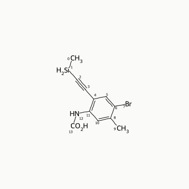 C[SiH2]C#Cc1cc(Br)c(C)cc1NC(=O)O